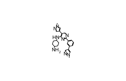 Cn1cc(-c2cccc(-c3ncc(-c4cnn(C)c4)c(NC4CCC(N)CC4)n3)c2)cn1